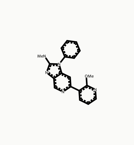 CNc1nc2cnc(-c3cccnc3OC)cc2n1-c1ccccc1